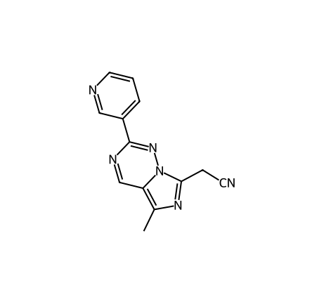 Cc1nc(CC#N)n2nc(-c3cccnc3)ncc12